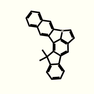 CC1(C)c2ccccc2-c2cc3ccn4c5cc6ccccc6cc5c(c21)c34